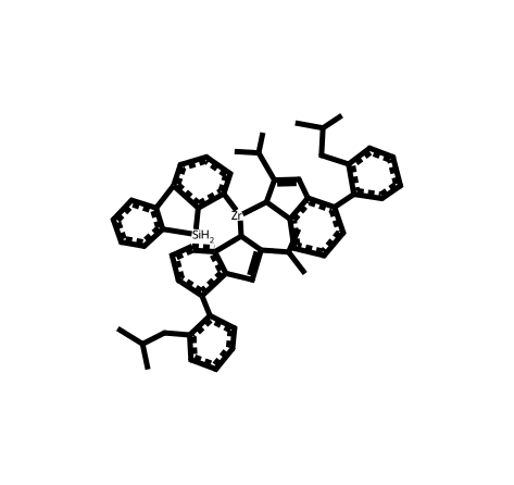 CC(C)Cc1ccccc1-c1cccc2c1C=C(C(C)C)[CH]2[Zr]([c]1cccc2c1[SiH2]c1ccccc1-2)[CH]1C(C(C)C)=Cc2c(-c3ccccc3CC(C)C)cccc21